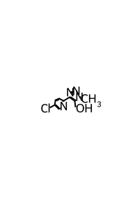 Cn1nnc(-c2ccc(Cl)cn2)c1CO